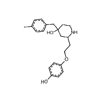 Cc1ccc(CC2(O)CCNC(CCOc3ccc(O)cc3)C2)cc1